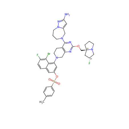 Cc1ccc(S(=O)(=O)Oc2cc(N3CCc4c(nc(OC[C@@]56CCCN5C[C@H](F)C6)nc4N4CCCn5nc(N)cc5C4)C3)c3c(Br)c(F)ccc3c2)cc1